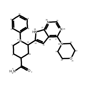 NC(=O)C1CCN(c2ccccc2)C(c2cc3c(N4CCOCC4)ncnc3[nH]2)C1